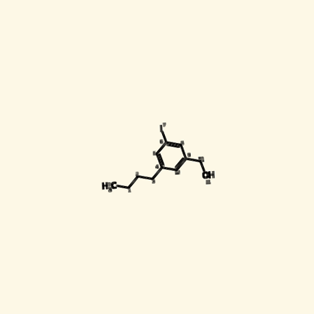 CCCCc1cc(I)cc([CH]O)c1